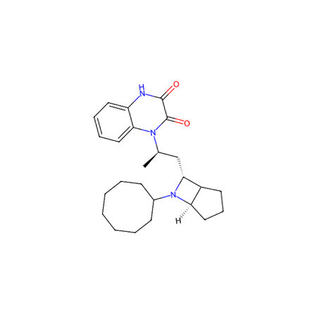 C[C@H](C[C@@H]1C2CCC[C@H]2N1C1CCCCCCC1)n1c(=O)c(=O)[nH]c2ccccc21